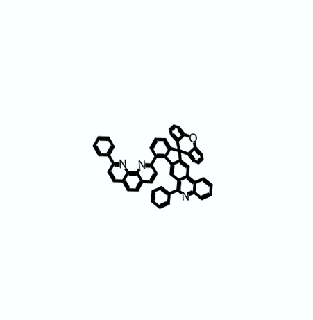 c1ccc(-c2ccc3ccc4ccc(-c5cccc6c5-c5cc7c(-c8ccccc8)nc8ccccc8c7cc5C65c6ccccc6Oc6ccccc65)nc4c3n2)cc1